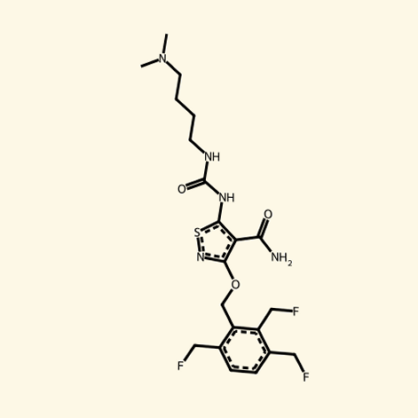 CN(C)CCCCNC(=O)Nc1snc(OCc2c(CF)ccc(CF)c2CF)c1C(N)=O